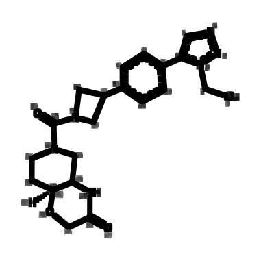 CC(C)(C)Cn1nncc1-c1ccc(C2CN(C(=O)N3CC[C@@H]4OCC(=O)NC4C3)C2)cc1